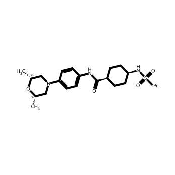 CC(C)S(=O)(=O)N[C@H]1CC[C@@H](C(=O)Nc2ccc(N3C[C@@H](C)O[C@@H](C)C3)cc2)CC1